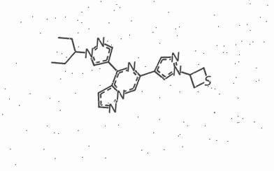 CCC(CC)n1cc(-c2nc(-c3cnn(C4CSC4)c3)cn3nccc23)cn1